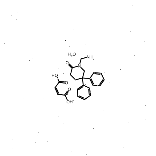 NCN1CC(c2ccccc2)(c2ccccc2)CCC1=O.O.O=C(O)/C=C\C(=O)O